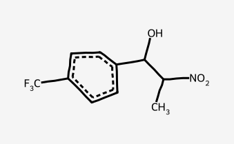 CC(C(O)c1ccc(C(F)(F)F)cc1)[N+](=O)[O-]